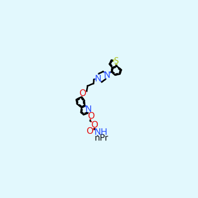 CCCNC(=O)OCOc1ccc2ccc(OCCCCN3CCN(c4cccc5sccc45)CC3)cc2n1